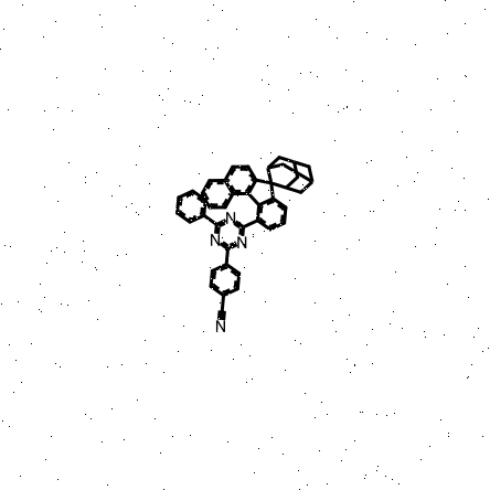 N#Cc1ccc(-c2nc(-c3ccccc3)nc(-c3cccc4c3-c3c(ccc5ccccc35)C43C4CC5CC(C4)CC3C5)n2)cc1